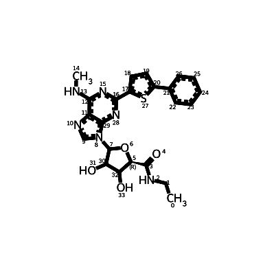 CCNC(=O)[C@@H]1OC(n2cnc3c(NC)nc(-c4ccc(-c5ccccc5)s4)nc32)C(O)C1O